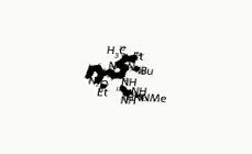 CCOc1ncccc1-c1cc(NCC(=N)NNNC)c2c(n1)c(C)c(CC)n2C(C)CC